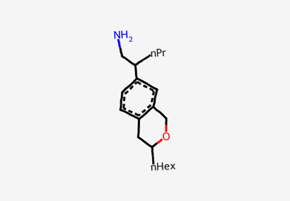 CCCCCCC1Cc2ccc(C(CN)CCC)cc2CO1